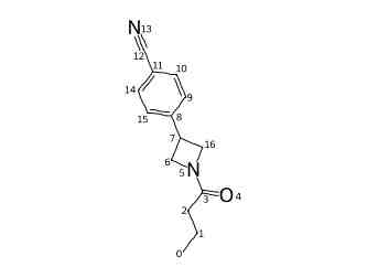 CCCC(=O)N1CC(c2ccc(C#N)cc2)C1